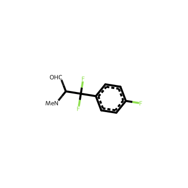 CNC(C=O)C(F)(F)c1ccc(F)cc1